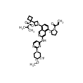 C=CC(=O)N1CCC[C@H]1c1ccc(N2CC(C3(S(=O)(=O)C(C)C)CCC3)C2)c2cnc(Nc3ccnc(N4CC[C@@H](OC)[C@@H](F)C4)n3)cc12